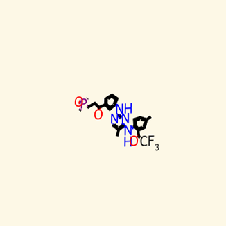 Cc1ccc(Nc2nc(Nc3cccc(C(=O)CCP(C)(C)=O)c3)ncc2C)c(C(=O)C(F)(F)F)c1